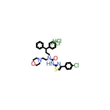 Cl.Cl.O=C(Nc1nc(-c2ccc(Cl)cc2)cs1)N(CCC(c1ccccc1)c1ccccc1)CCN1CCOCC1